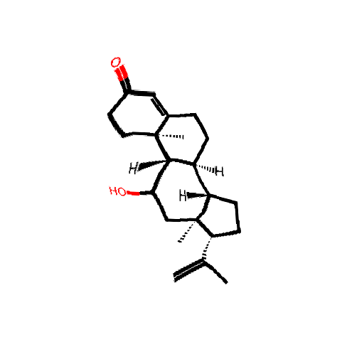 C=C(C)[C@H]1CC[C@H]2[C@@H]3CCC4=CC(=O)CC[C@]4(C)[C@H]3C(O)C[C@]12C